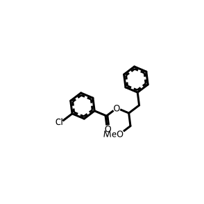 COCC(Cc1ccccc1)OC(=O)c1cccc(Cl)c1